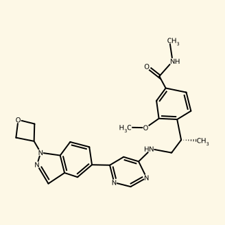 CNC(=O)c1ccc([C@H](C)CNc2cc(-c3ccc4c(cnn4C4COC4)c3)ncn2)c(OC)c1